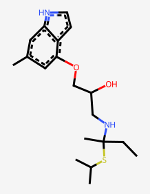 CCC(C)(NCC(O)COc1cc(C)cc2[nH]ccc12)SC(C)C